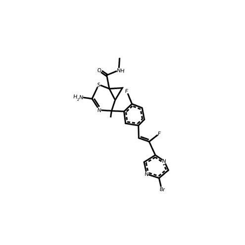 CNC(=O)C12CC1C(C)(c1cc(/C=C(\F)c3cnc(Br)cn3)ccc1F)N=C(N)S2